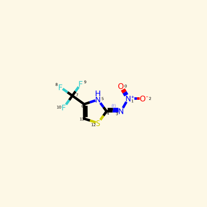 O=[N+]([O-])/N=c1\[nH]c(C(F)(F)F)cs1